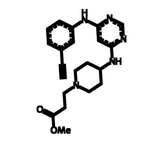 C#Cc1cccc(Nc2cc(NC3CCN(CCC(=O)OC)CC3)ncn2)c1